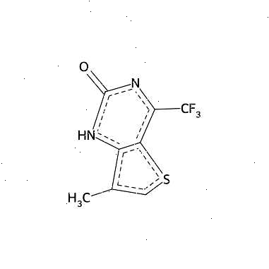 Cc1csc2c(C(F)(F)F)nc(=O)[nH]c12